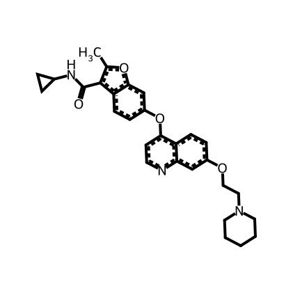 Cc1oc2cc(Oc3ccnc4cc(OCCN5CCCCC5)ccc34)ccc2c1C(=O)NC1CC1